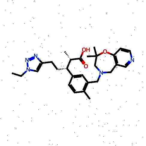 CCn1cc(CC[C@@H](c2ccc(C)c(CN3Cc4cnccc4OC(C)(C)C3)c2)[C@H](C)C(=O)O)nn1